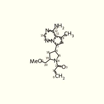 C=CC(=O)N1CC(c2cc(C)c3c(N)ncnn23)CC1COC